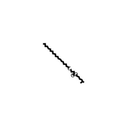 CCCCCCCCCCCCCCCCCCCCCCCCC(=O)OCCCCC(C)C